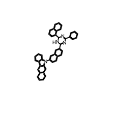 c1ccc(C2=NC(c3cccc4ccccc34)NC(c3ccc4ccc(-n5c6ccccc6c6cc7ccccc7cc65)cc4c3)=N2)cc1